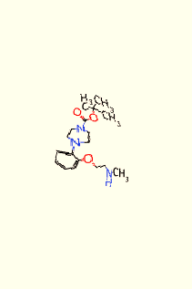 CNCCOc1ccccc1N1CCN(C(=O)OC(C)(C)C)CC1